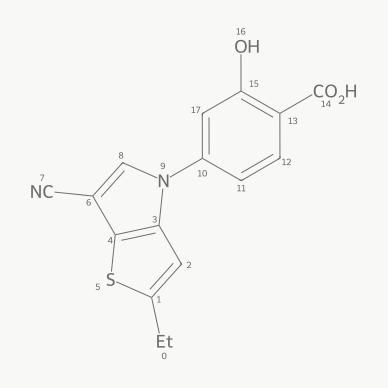 CCc1cc2c(s1)c(C#N)cn2-c1ccc(C(=O)O)c(O)c1